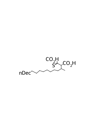 CCCCCCCCCCCCCCCCCCC(C)C(C(=O)O)C(=S)C(=O)O